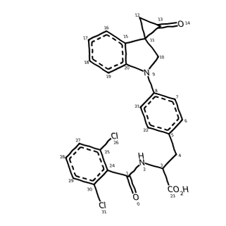 O=C(NC(Cc1ccc(N2CC3(CC3=O)c3ccccc32)cc1)C(=O)O)c1c(Cl)cccc1Cl